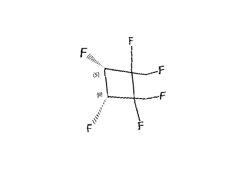 F[C@@H]1[C@H](F)C(F)(F)C1(F)F